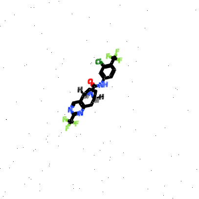 O=C(Nc1ccc(C(F)(F)F)c(Cl)c1)N1[C@H]2CC[C@@H]1c1cnc(C(F)(F)F)nc1C2